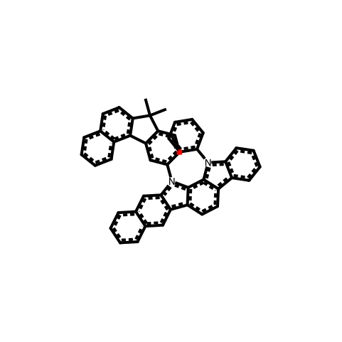 CC1(C)c2ccc(-n3c4cc5ccccc5cc4c4ccc5c6ccccc6n(-c6ccccc6)c5c43)cc2-c2c1ccc1ccccc21